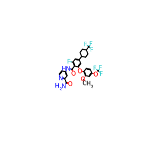 COc1cc(OC(F)(F)F)ccc1Oc1cc(C2CCC(C(F)(F)F)CC2)cc(F)c1C(=O)Nc1ccnc(C(N)=O)c1